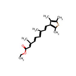 CCOC(=O)/C=C(C)/C=C/C=C(C)/C=C/c1c(C)sc(C)c1C